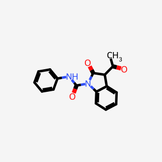 CC(=O)C1C(=O)N(C(=O)Nc2ccccc2)c2ccccc21